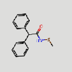 CSNC(=O)C(c1ccccc1)c1ccccc1